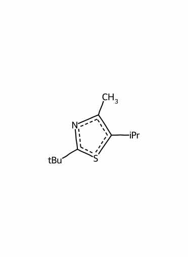 Cc1nc(C(C)(C)C)sc1C(C)C